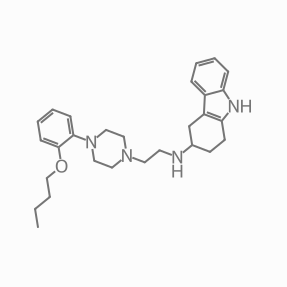 CCCCOc1ccccc1N1CCN(CCNC2CCc3[nH]c4ccccc4c3C2)CC1